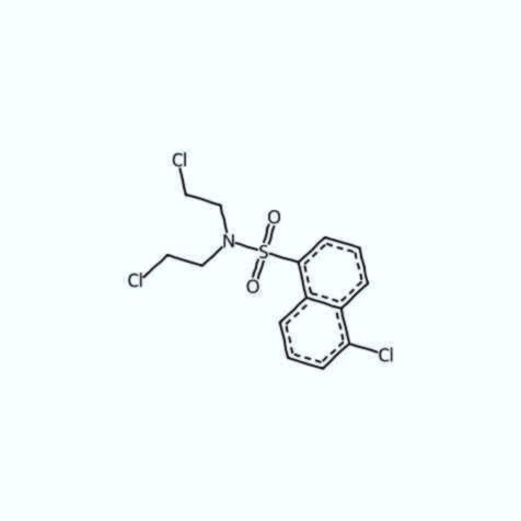 O=S(=O)(c1cccc2c(Cl)cccc12)N(CCCl)CCCl